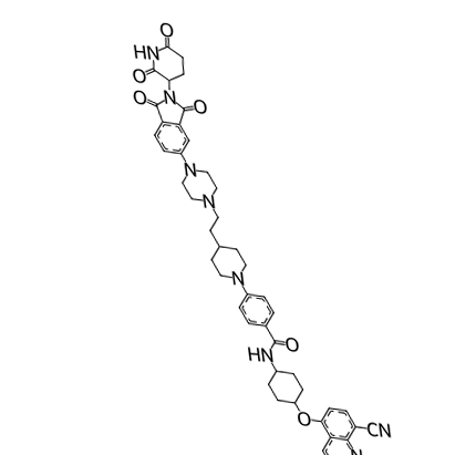 N#Cc1ccc(OC2CCC(NC(=O)c3ccc(N4CCC(CCN5CCN(c6ccc7c(c6)C(=O)N(C6CCC(=O)NC6=O)C7=O)CC5)CC4)cc3)CC2)c2cccnc12